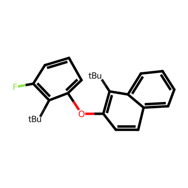 CC(C)(C)c1c(F)cccc1Oc1ccc2ccccc2c1C(C)(C)C